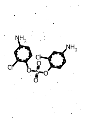 Nc1ccc(OS(=O)(=O)Oc2ccc(N)cc2Cl)c(Cl)c1